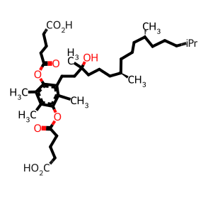 Cc1c(C)c(OC(=O)CCCC(=O)O)c(CCC(C)(O)CCC[C@H](C)CCC[C@H](C)CCCC(C)C)c(C)c1OC(=O)CCCC(=O)O